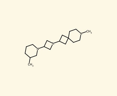 CC1CCCN(C2CN(C3CC4(CCN(C)CC4)C3)C2)C1